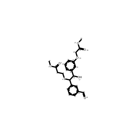 COC(=O)CCSC(c1cccc(C=O)c1)C(O)c1cccc(OCC(=O)OC)c1